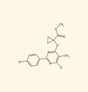 COC(=O)C1(Oc2nc(-c3ccc(Cl)cc3)nc(Cl)c2C)CC1